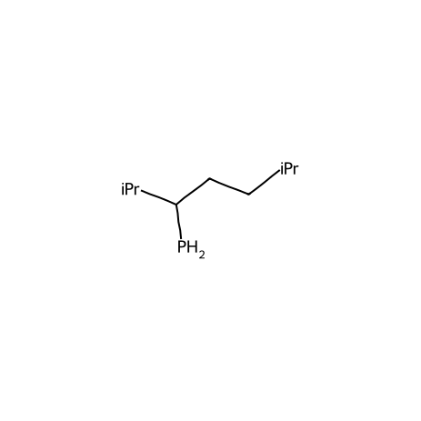 CC(C)CCC(P)C(C)C